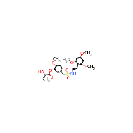 COc1cc(OC)c(/C=C/NS(=O)(=O)Cc2ccc(OC)c(OC(=O)C(C)O)c2)c(OC)c1